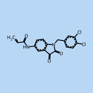 C=CC(=O)Nc1ccc2c(c1)C(=O)C(=O)N2Cc1ccc(Cl)c(Cl)c1